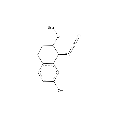 CC(C)(C)OC1CCc2ccc(O)cc2[C@@H]1N=C=O